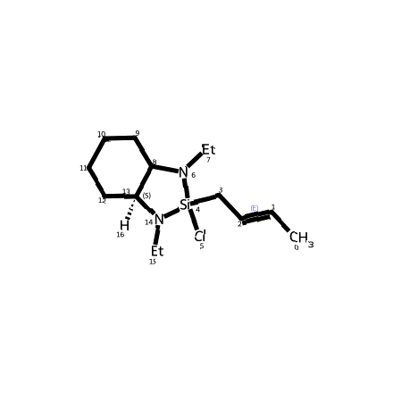 C/C=C/C[Si]1(Cl)N(CC)C2CCCC[C@@H]2N1CC